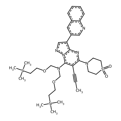 CC#Cc1c(N2CCS(=O)(=O)CC2)nc2c(-c3cnc4ccccc4c3)cnn2c1N(COCC[Si](C)(C)C)COCC[Si](C)(C)C